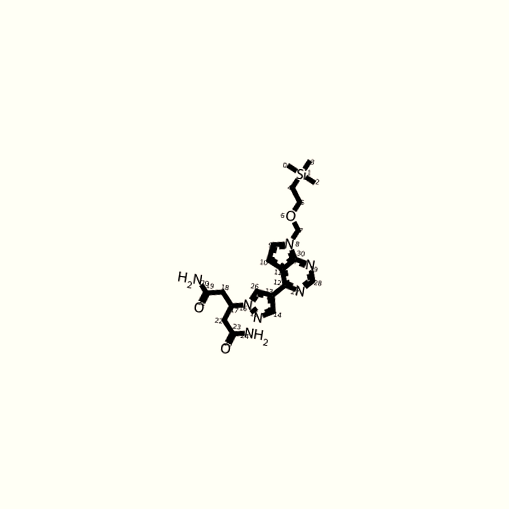 C[Si](C)(C)CCOCn1ccc2c(-c3cnn(C(CC(N)=O)CC(N)=O)c3)ncnc21